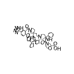 COc1ccc(-c2nnn[nH]2)cc1C(=O)N1CCC(CCN2CCC(NC(=O)N3CCOC(C(=O)O)C3)(c3ccccc3)CC2)(c2ccc(Cl)c(Cl)c2)C1